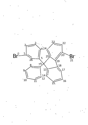 Brc1cccc(C2(c3ccccc3)c3ccccc3-c3c(Br)cccc32)c1